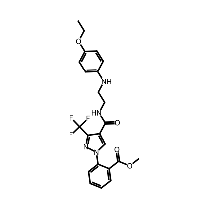 CCOc1ccc(NCCNC(=O)c2cn(-c3ccccc3C(=O)OC)nc2C(F)(F)F)cc1